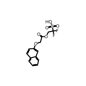 O=C(COc1ccc2ccccc2c1)OCC(F)(F)S(=O)(=O)O